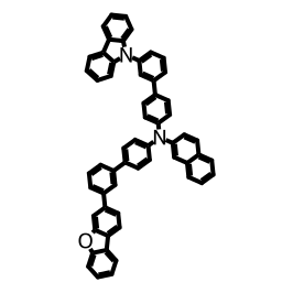 c1cc(-c2ccc(N(c3ccc(-c4cccc(-n5c6ccccc6c6ccccc65)c4)cc3)c3ccc4ccccc4c3)cc2)cc(-c2ccc3c(c2)oc2ccccc23)c1